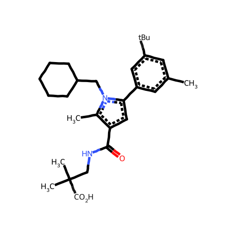 Cc1cc(-c2cc(C(=O)NCC(C)(C)C(=O)O)c(C)n2CC2CCCCC2)cc(C(C)(C)C)c1